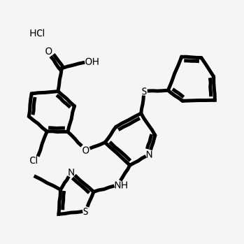 Cc1csc(Nc2ncc(Sc3ccccc3)cc2Oc2cc(C(=O)O)ccc2Cl)n1.Cl